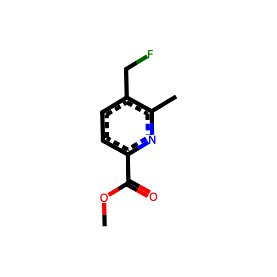 COC(=O)c1ccc(CF)c(C)n1